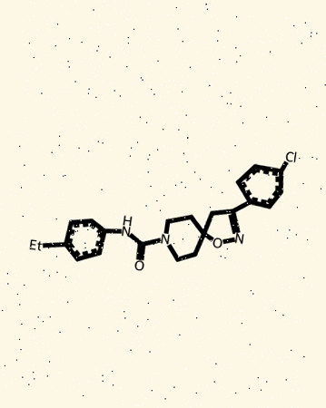 CCc1ccc(NC(=O)N2CCC3(CC2)CC(c2ccc(Cl)cc2)=NO3)cc1